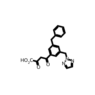 O=C(O)C(=O)CC(=O)c1cc(Cc2ccccc2)cc(Cn2nccn2)c1